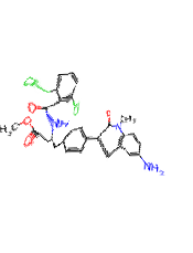 COC(=O)[C@H](Cc1ccc(-c2cc3cc(N)ccc3n(C)c2=O)cc1)NC(=O)c1c(Cl)cccc1Cl